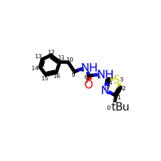 CC(C)(C)c1csc(NC(=O)NCCc2ccccc2)n1